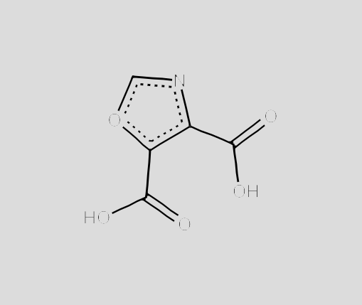 O=C(O)c1ncoc1C(=O)O